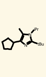 Cc1c(C2CCCC2)nc(C(C)(C)C)n1C(C)C